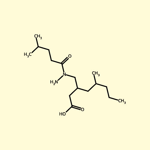 CCCC(C)CC(CC(=O)O)CN(N)C(=O)CCC(C)C